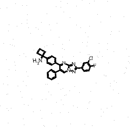 NC1(c2ccc(-c3nc4nc(-c5ccc(F)c(Cl)c5)nn4cc3-c3ccccc3)cc2)CCC1